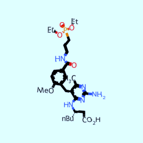 CCCC[C@@H](CC(=O)O)Nc1nc(N)nc(C)c1Cc1cc(C(=O)NCCCP(=O)(OCC)OCC)ccc1OC